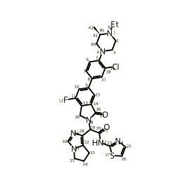 CCN1CCN(c2ccc(-c3cc(F)c4c(c3)C(=O)N(C(C(=O)Nc3nccs3)c3ncn5c3CCC5)C4)cc2Cl)C[C@H]1C